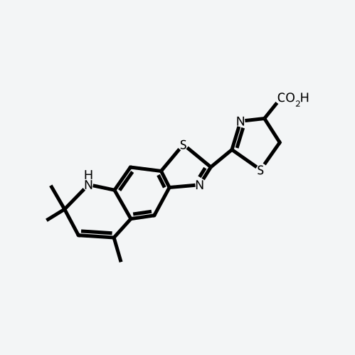 CC1=CC(C)(C)Nc2cc3sc(C4=NC(C(=O)O)CS4)nc3cc21